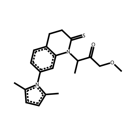 COCC(=O)C(C)N1C(=S)CCc2ccc(-n3c(C)ccc3C)cc21